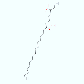 CCCCCCCCCCCCCCCCC(CCCCC(CC)C(=O)O)C(=O)O